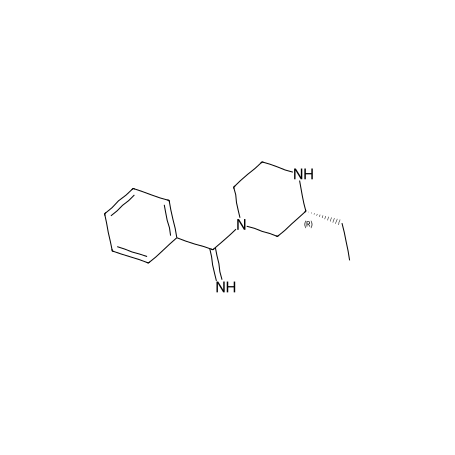 CC[C@@H]1CN(C(=N)c2ccccc2)CCN1